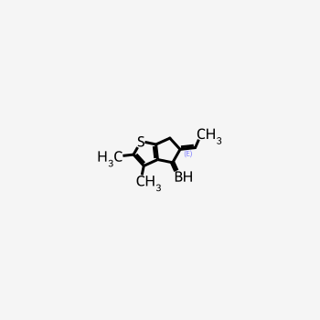 B=C1/C(=C/C)Cc2sc(C)c(C)c21